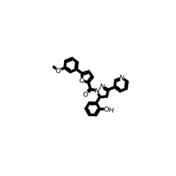 COc1cccc(-c2ccc(C(=O)N3N=C(c4cccnc4)CC3c3ccccc3O)o2)c1